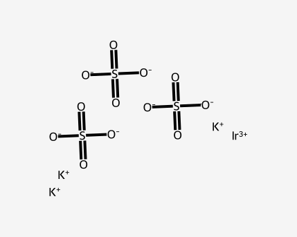 O=S(=O)([O-])[O-].O=S(=O)([O-])[O-].O=S(=O)([O-])[O-].[Ir+3].[K+].[K+].[K+]